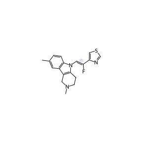 Cc1ccc2c(c1)c1c(n2/C=C(\F)c2cscn2)CCN(C)C1